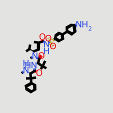 CN[C@H](C(=O)N[C@H](C(=O)N(C)[C@H](C=C(C)C(=O)NS(=O)(=O)c1ccc(-c2ccc(N)cc2)cc1)C(C)C)C(C)(C)C)C(C)(C)c1ccccc1